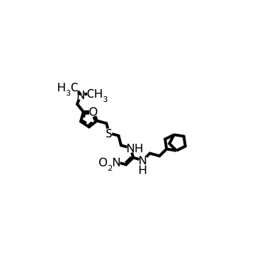 CN(C)Cc1ccc(CSCCNC(=C[N+](=O)[O-])NCCC2CC3CCC2C3)o1